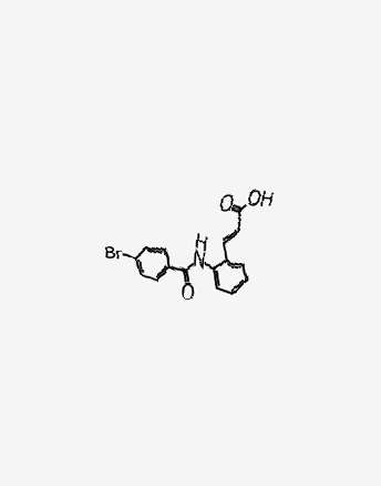 O=C(O)C=Cc1ccccc1NC(=O)c1ccc(Br)cc1